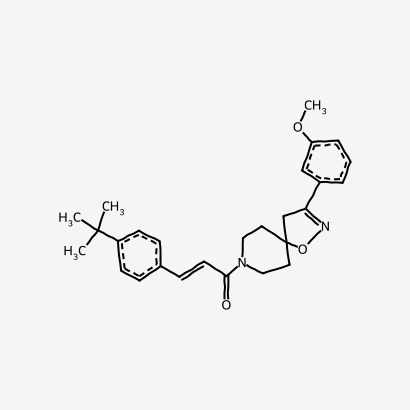 COc1cccc(C2=NOC3(CCN(C(=O)C=Cc4ccc(C(C)(C)C)cc4)CC3)C2)c1